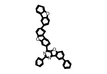 c1ccc(-c2ccc3oc4c(-c5ccc6c(c5)oc5ccc(-c7ccc8oc9ccccc9c8c7)cc56)nc(-c5ccccc5)nc4c3c2)cc1